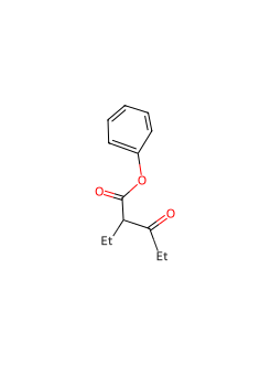 CCC(=O)C(CC)C(=O)Oc1ccccc1